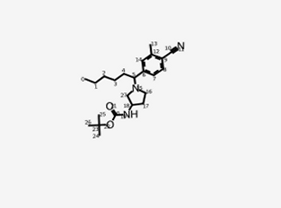 CCCCCC(c1ccc(C#N)c(C)c1)N1CCC(NC(=O)OC(C)(C)C)C1